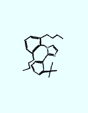 CCCCc1cccc(CCCC)c1-n1ccnc1-c1ccccc1C(C)(C)C